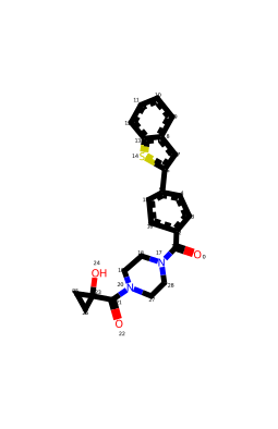 O=C(c1ccc(-c2cc3ccccc3s2)cc1)N1CCN(C(=O)C2(O)CC2)CC1